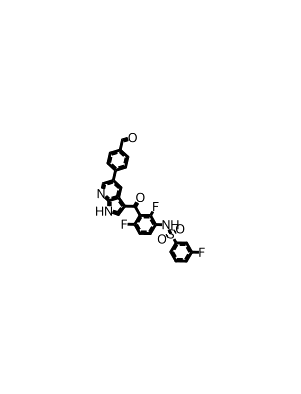 O=Cc1ccc(-c2cnc3[nH]cc(C(=O)c4c(F)ccc(NS(=O)(=O)c5cccc(F)c5)c4F)c3c2)cc1